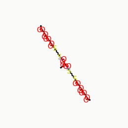 C#CCOC(COC(=O)/C=C/SCCCCCCSC=CC(=O)OCCCOC(=O)CC(=O)OCCCOC(=O)C#C)COC(=O)/C=C/SCCCCCCSC=CC(=O)OCCCOC(=O)CC(=O)OCCCOC(=O)C#C